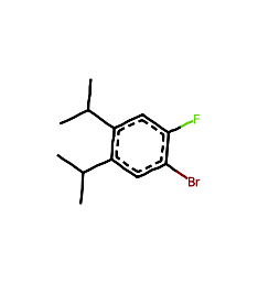 CC(C)c1cc(F)c(Br)cc1C(C)C